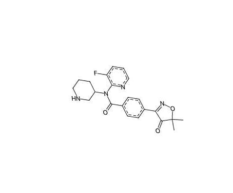 CC1(C)ON=C(c2ccc(C(=O)N(c3ncccc3F)C3CCCNC3)cc2)C1=O